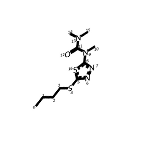 CCCCSc1nnc(N(C)C(=O)N(C)C)s1